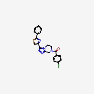 O=C(c1ccc(F)cc1)N1CCn2c(nnc2-c2csc(-c3ccccc3)n2)C1